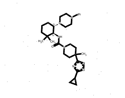 CC(C)N1CCN([C@H]2CCCC(C)(C)[C@@H]2NC(=O)N2CCC(C)(c3noc(C4CC4)n3)CC2)CC1